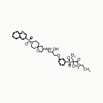 CCOC(=O)C(C)(C)S(=O)(=O)c1cccc(OCC(O)CNC2COC3(CCN(S(=O)(=O)c4cnc5ccccc5c4)CC3)C2)c1